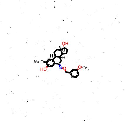 COc1cc2c(cc1O)C(=NOCc1cccc(OC(F)(F)F)c1)C[C@@H]1[C@@H]2CC[C@]2(C)[C@@H](O)CC[C@@H]12